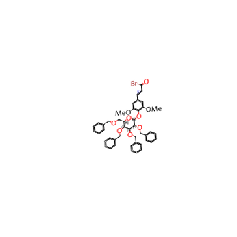 COc1cc(/C=C/C(=O)Br)cc(OC)c1O[C@@H]1O[C@H](COCc2ccccc2)[C@H](OCc2ccccc2)[C@H](OCc2ccccc2)[C@H]1OCc1ccccc1